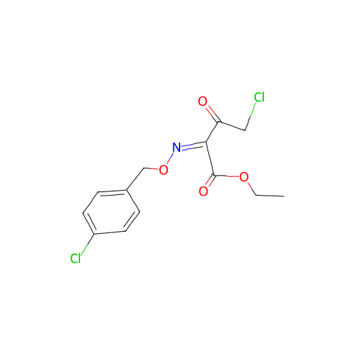 CCOC(=O)/C(=N\OCc1ccc(Cl)cc1)C(=O)CCl